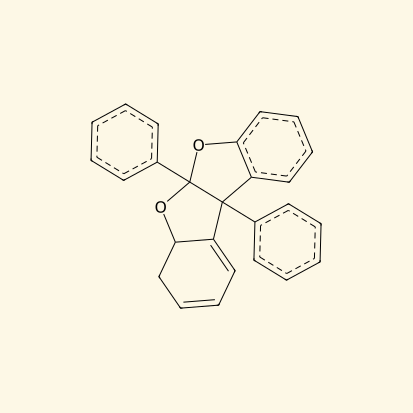 C1=CCC2OC3(c4ccccc4)Oc4ccccc4C3(c3ccccc3)C2=C1